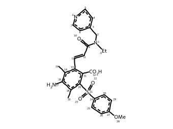 CCN(Cc1ccncc1)C(=O)C=Cc1c(C)c(N)c(C)c(S(=O)(=O)c2ccc(OC)cc2)c1C(=O)O